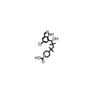 CC(C)(CC(C)(C)C(O)c1cc(Cl)cc2cn[nH]c12)C1CCN(C(=O)O)CC1